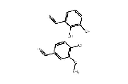 COc1cc(C=O)ccc1O.O=Cc1cccc(O)c1O